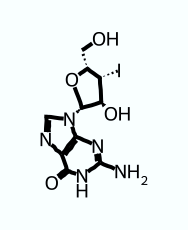 Nc1nc2c(ncn2[C@@H]2O[C@H](CO)[C@H](I)[C@H]2O)c(=O)[nH]1